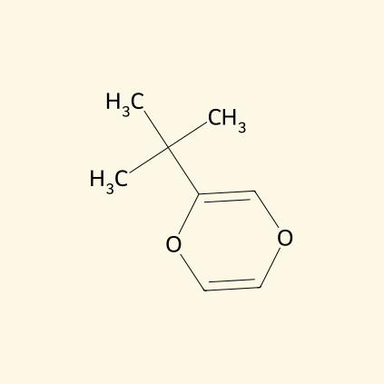 CC(C)(C)C1=COC=CO1